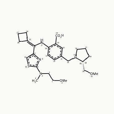 COCCN(C)c1nc(C(Nc2ccc(CN3CCC[C@@H]3COC)cc2C(=O)O)=C2CCC2)cs1